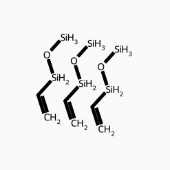 C=C[SiH2]O[SiH3].C=C[SiH2]O[SiH3].C=C[SiH2]O[SiH3]